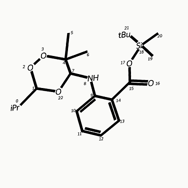 CC(C)C1OOC(C)(C)C(Nc2ccccc2C(=O)O[Si](C)(C)C(C)(C)C)O1